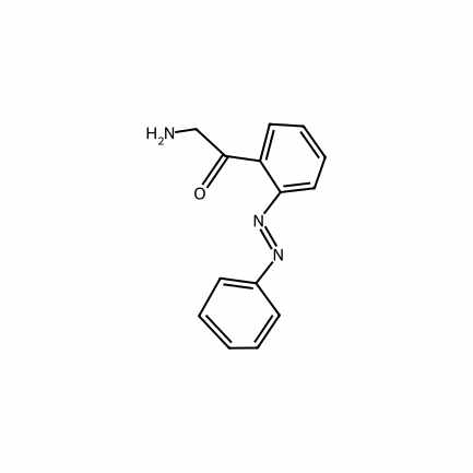 NCC(=O)c1ccccc1N=Nc1ccccc1